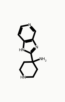 NC1(c2nc3cnccc3[nH]2)CCNCC1